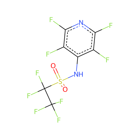 O=S(=O)(Nc1c(F)c(F)nc(F)c1F)C(F)(F)C(F)(F)F